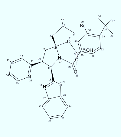 CC(C)C[C@]1(OC(=O)O)C[C@H](c2cnccn2)[C@H](c2nc3ccccc3s2)N1C(=O)c1ccc(C(C)(C)C)c(Br)c1